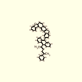 C/C(=C\C=C(/C)c1c2ccccc2c(-c2ccc3sc4cc5ccc6oc7ccccc7c6c5cc4c3c2)c2ccccc12)c1ccccc1